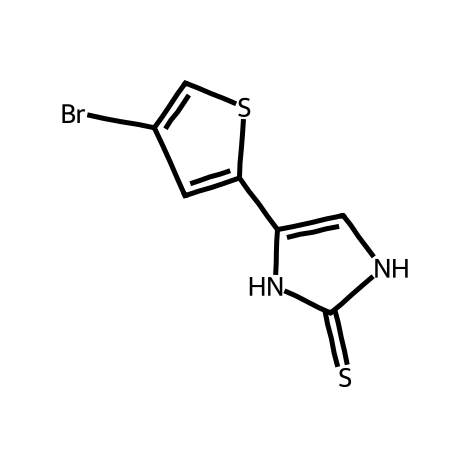 S=c1[nH]cc(-c2cc(Br)cs2)[nH]1